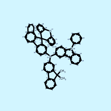 CC1(C)c2ccccc2-c2ccc(N(c3ccc4c(c3)C3(c5c#cccc5Oc5ccccc53)c3c-4ccc4c3CCC=C4)c3ccc4c(c3)c3ccccc3n4-c3ccccc3)cc21